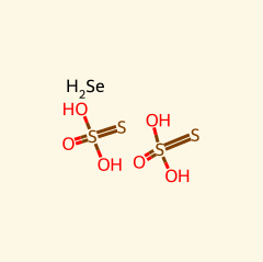 O=S(O)(O)=S.O=S(O)(O)=S.[SeH2]